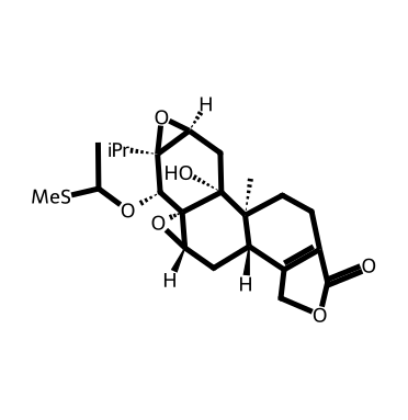 CSC(C)O[C@@H]1[C@@]2(C(C)C)O[C@H]2C[C@]2(O)[C@]13O[C@H]3C[C@H]1C3=C(CC[C@@]12C)C(=O)OC3